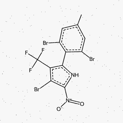 Cc1cc(Br)c(-c2[nH]c([N+](=O)[O-])c(Br)c2C(F)(F)F)c(Br)c1